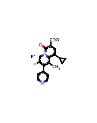 Cc1c(-c2ccncc2)c(F)cn2c(=O)c(C(=O)[O-])cc(C3CC3)c12.[K+]